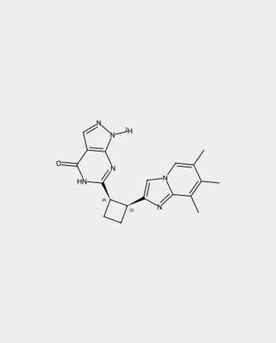 [2H]n1ncc2c(=O)[nH]c([C@@H]3CC[C@@H]3c3cn4cc(C)c(C)c(C)c4n3)nc21